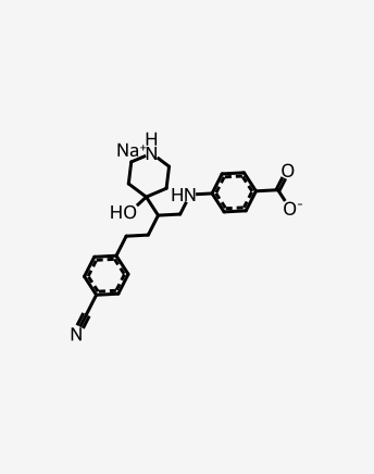 N#Cc1ccc(CCC(CNc2ccc(C(=O)[O-])cc2)C2(O)CCNCC2)cc1.[Na+]